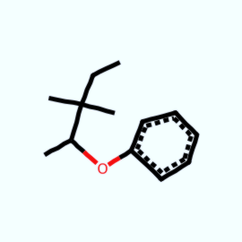 CCC(C)(C)C(C)Oc1ccccc1